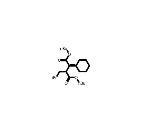 CCCCOC(=O)C(=C1CCCCC1)C(CC(C)C)C(=O)OCCCC